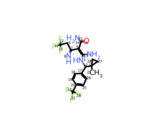 CC1(C(N/C(N)=C(\C(=N)CC(F)(F)F)C(N)=O)c2ccc(C(F)(F)F)cc2)CC1